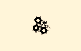 O=S(=O)(C(F)(F)F)S(c1ccccc1)(c1ccccc1)c1ccccc1